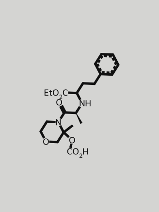 CCOC(=O)C(CCc1ccccc1)N[C@@H](C)C(=O)N1CCOCC1(C)OC(=O)O